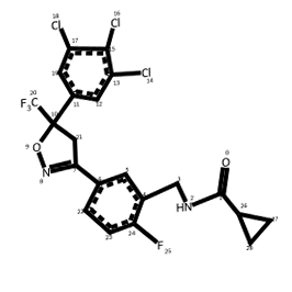 O=C(NCc1cc(C2=NOC(c3cc(Cl)c(Cl)c(Cl)c3)(C(F)(F)F)C2)ccc1F)C1CC1